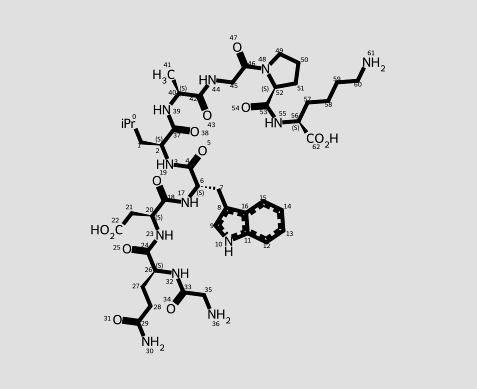 CC(C)C[C@H](NC(=O)[C@H](Cc1c[nH]c2ccccc12)NC(=O)[C@H](CC(=O)O)NC(=O)[C@H](CCC(N)=O)NC(=O)CN)C(=O)N[C@@H](C)C(=O)NCC(=O)N1CCC[C@H]1C(=O)N[C@@H](CCCCN)C(=O)O